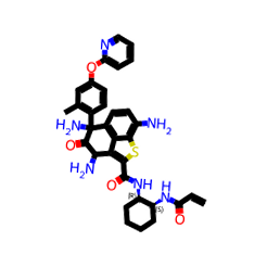 C=CC(=O)N[C@H]1CCCC[C@H]1NC(=O)c1sc2c(N)ccc3c2c1C(N)C(=O)C3(N)c1ccc(Oc2ccccn2)cc1C